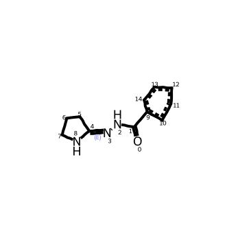 O=C(N/N=C1\CCCN1)c1ccccc1